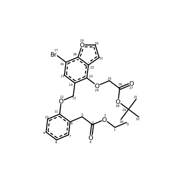 CCOC(=O)Cc1ccccc1OCc1cc(Br)c2occc2c1OCC(=O)OC(C)(C)C